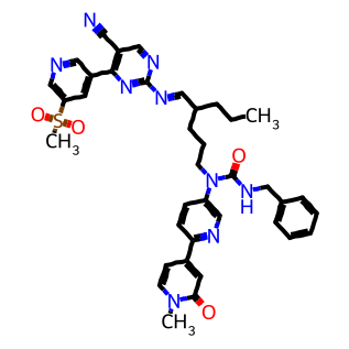 CCCC(/C=N/c1ncc(C#N)c(-c2cncc(S(C)(=O)=O)c2)n1)CCCN(C(=O)NCc1ccccc1)c1ccc(-c2ccn(C)c(=O)c2)nc1